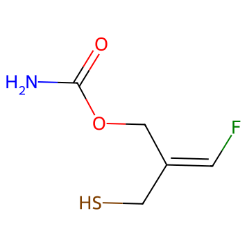 NC(=O)OC/C(=C\F)CS